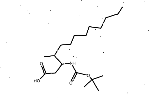 CCCCCCCCCC(C)C(CC(=O)O)NC(=O)OC(C)(C)C